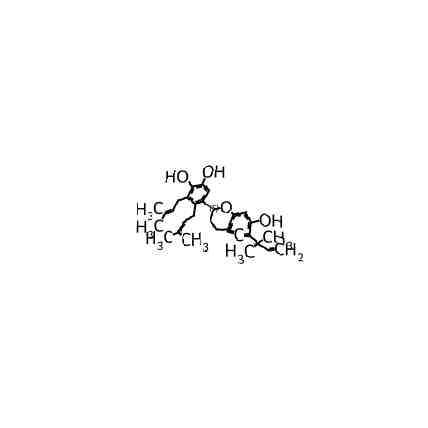 C=CC(C)(C)c1cc2c(cc1O)O[C@H](c1cc(O)c(O)c(CC=C(C)C)c1CC=C(C)C)CC2